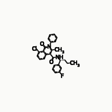 CCC[C@@H](NC(=O)c1c(C)n(-c2ccccc2)c(=O)c2c(Cl)cccc12)c1cccc(F)c1